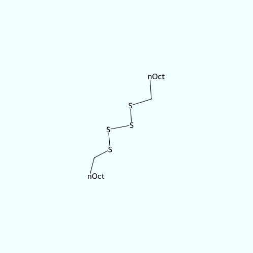 CCCCCCCCCSSSSCCCCCCCCC